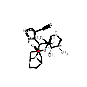 C[C@@H]1C(C(c2[nH]ncc2C#N)N2CC3CCC(C2)N3C(=O)OC(C)(C)C)=CNC[C@@H]1C